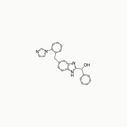 OC(c1ccccc1)c1nc2cc(Cc3ccccc3-n3ccnc3)ccc2[nH]1